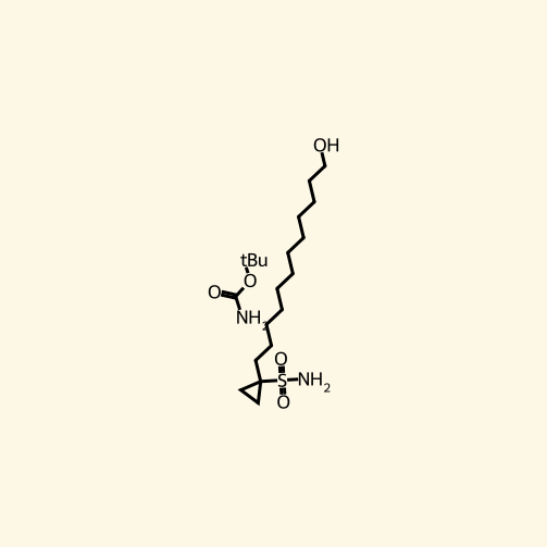 CC(C)(C)OC(N)=O.NS(=O)(=O)C1(CCCCCCCCCCCCO)CC1